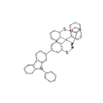 c1ccc(-c2cccc3c2C2(c4ccccc4Sc4ccccc42)c2ccc(-c4ccc5c6ccccc6n(-c6ccccc6)c5c4)cc2S3)cc1